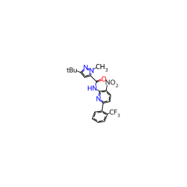 Cn1nc(C(C)(C)C)cc1C(=O)Nc1nc(-c2ccccc2C(F)(F)F)ccc1[N+](=O)[O-]